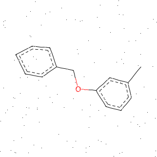 Cc1cccc(OCc2ccccc2)c1